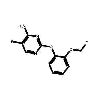 Nc1nc(Oc2ccccc2OCF)ncc1F